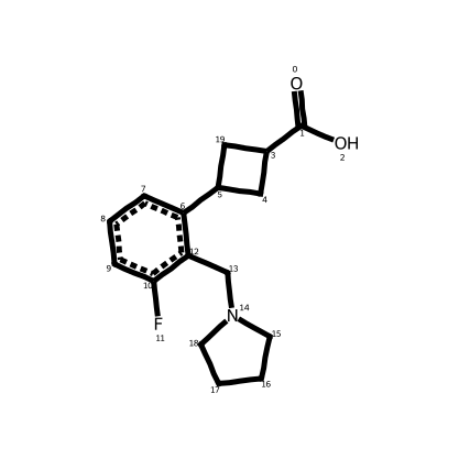 O=C(O)C1CC(c2cccc(F)c2CN2CCCC2)C1